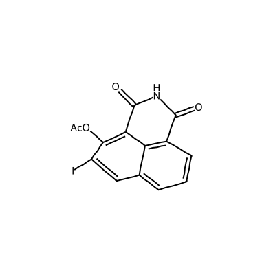 CC(=O)Oc1c(I)cc2cccc3c2c1C(=O)NC3=O